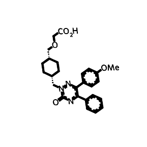 COc1ccc(-c2nn(C[C@H]3CC[C@@H](COCC(=O)O)CC3)c(=O)nc2-c2ccccc2)cc1